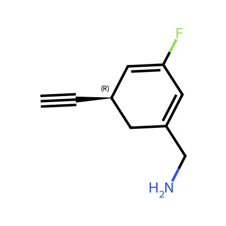 C#C[C@H]1C=C(F)C=C(CN)C1